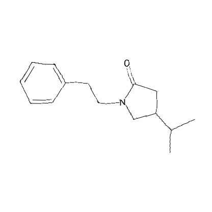 CC(C)C1CC(=O)N(CCc2ccccc2)C1